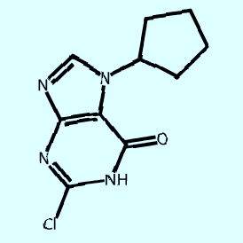 O=c1[nH]c(Cl)nc2ncn(C3CCCC3)c12